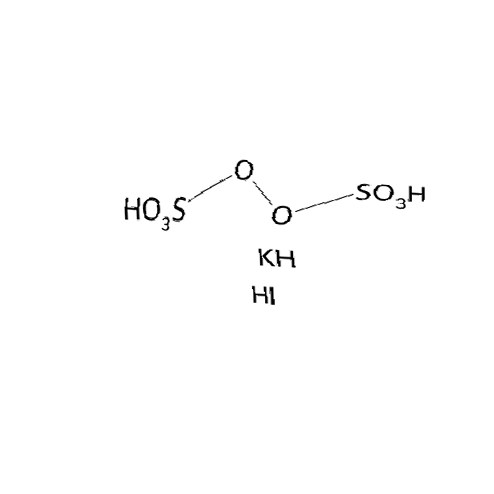 I.O=S(=O)(O)OOS(=O)(=O)O.[KH]